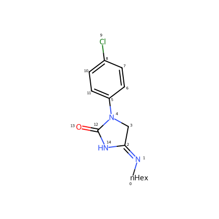 CCCCCCN=C1CN(c2ccc(Cl)cc2)C(=O)N1